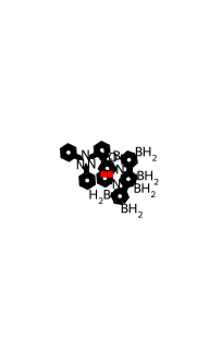 Bc1cc(B)c2c(c1)c1c(B)c(B)c3c4cc(B)cc(B)c4n(-c4cccc5c4oc4cccc(-c6nc(-c7ccccc7)nc(-c7ccccc7)n6)c45)c3c1n2-c1ccccc1